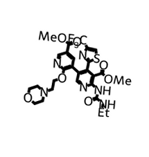 CCNC(=O)Nc1ncc(-c2cc(C(=O)OC)cnc2OCCN2CCOCC2)c(-c2nc(C(F)(F)F)cs2)c1C(=O)OC